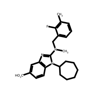 Cc1cccc(CN(C)c2nc3cc(C(=O)O)ccc3n2C2CCCCCC2)c1F